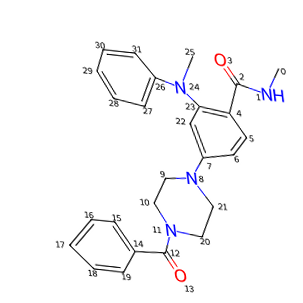 CNC(=O)c1ccc(N2CCN(C(=O)c3ccccc3)CC2)cc1N(C)c1ccccc1